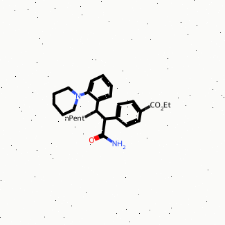 CCCCCC(c1ccccc1N1CCCCC1)C(C(N)=O)c1ccc(C(=O)OCC)cc1